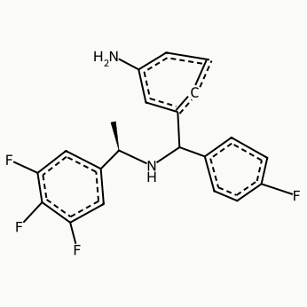 C[C@@H](NC(c1ccc(F)cc1)c1cccc(N)c1)c1cc(F)c(F)c(F)c1